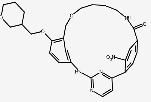 O=C1NCCCCOCc2cc(ccc2OCC2CCCOC2)Nc2nccc(n2)-c2ccc1cc2[N+](=O)[O-]